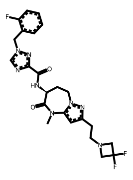 CN1C(=O)[C@@H](NC(=O)c2ncn(Cc3ccccc3F)n2)CCn2nc(CCN3CC(F)(F)C3)cc21